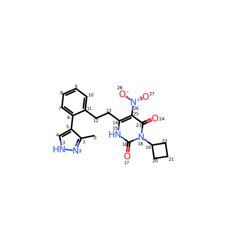 Cc1n[nH]cc1-c1ccccc1CCc1[nH]c(=O)n(C2CCC2)c(=O)c1[N+](=O)[O-]